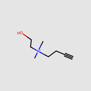 C#CCC[N+](C)(C)CCO